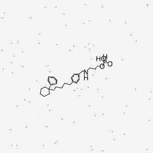 O=[PH](O)OCCCNCc1ccc(CCCCCC2(c3ccccc3)CCCCC2)cc1